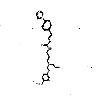 C=CCN(CCCNC(=O)C/C=C/c1ccc(-n2ccnc2)cc1)CCc1ccc(OC)cc1